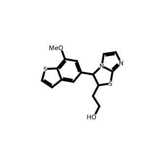 COc1cc(C2C(CCO)Sc3nccn32)cc2ccsc12